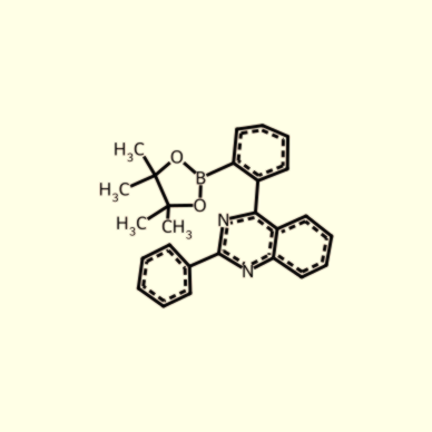 CC1(C)OB(c2ccccc2-c2nc(-c3ccccc3)nc3ccccc23)OC1(C)C